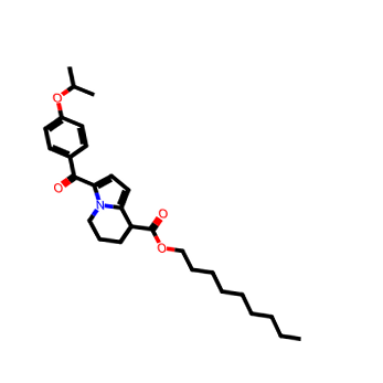 CCCCCCCCCOC(=O)C1CCCn2c(C(=O)c3ccc(OC(C)C)cc3)ccc21